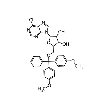 COc1ccc(C(OC[C@H]2O[C@@H](n3cnc4c(Cl)ncnc43)[C@@H](O)[C@H]2O)(c2ccccc2)c2ccc(OC)cc2)cc1